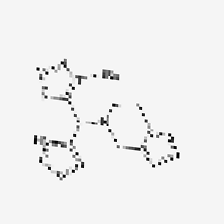 CC(C)(C)n1nnnc1C(c1ccc[nH]1)N1CCc2sccc2C1